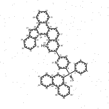 S=P(c1ccccc1)(c1ccc(-c2c[siH]c3c(ccc4c5ccccc5c5nc6ccccc6n5c43)c2)nc1)c1cc2ccccc2c2ccccc12